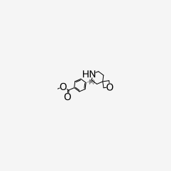 COC(=O)c1ccc([C@H]2CC3(CCN2)COC3)cc1